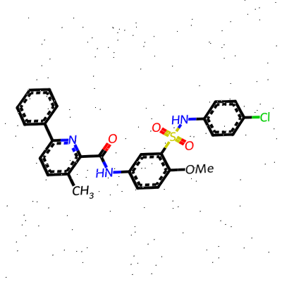 COc1ccc(NC(=O)c2nc(-c3ccccc3)ccc2C)cc1S(=O)(=O)Nc1ccc(Cl)cc1